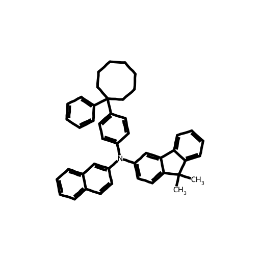 CC1(C)c2ccccc2-c2cc(N(c3ccc(C4(c5ccccc5)CCCCCCC4)cc3)c3ccc4ccccc4c3)ccc21